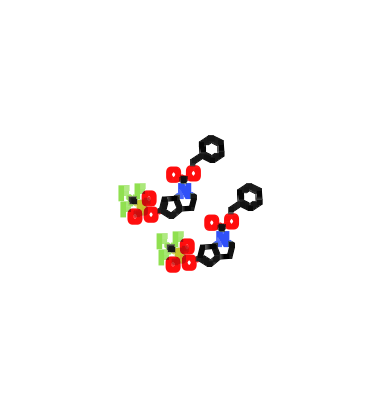 O=C(OCc1ccccc1)N1CCC2C=C(OS(=O)(=O)C(F)(F)F)CC21.O=C(OCc1ccccc1)N1CCC2CC(OS(=O)(=O)C(F)(F)F)=CC21